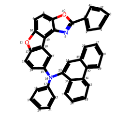 c1ccc(-c2nc3c(ccc4oc5ccc(N(c6ccccc6)c6cc7ccccc7c7ccccc67)cc5c43)o2)cc1